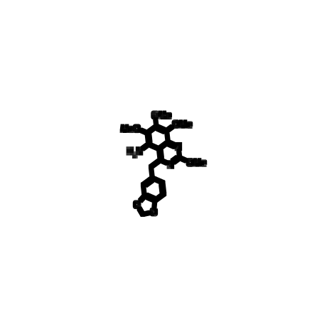 COc1nc(Cc2ccc3c(c2)OCO3)c2c(N)c(OC)c(OC)c(OC)c2n1